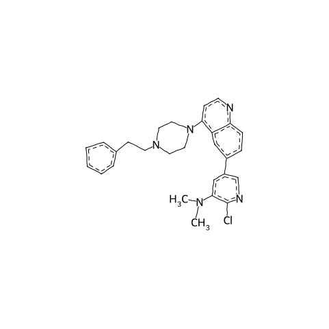 CN(C)c1cc(-c2ccc3nccc(N4CCN(CCc5ccccc5)CC4)c3c2)cnc1Cl